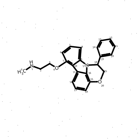 CNCCOc1cccc2c1c1cccc3c1n2C(c1ccccc1)CO3